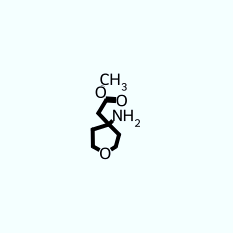 COC(=O)CC1(N)CCOCC1